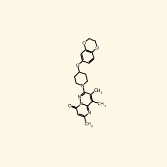 Cc1cc(=O)n2nc(N3CCC(Oc4ccc5c(c4)OCCO5)CC3)c(C)c(C)c2n1